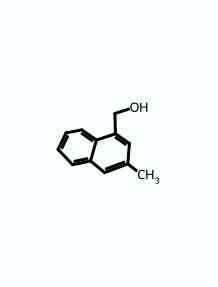 Cc1cc(CO)c2ccccc2c1